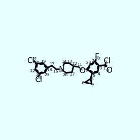 O=C(Cl)c1cc(C2CC2)c(OCC2CCN(CCc3cc(Cl)cc(Cl)c3)CC2)cc1F